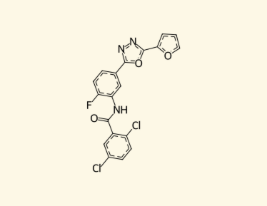 O=C(Nc1cc(-c2nnc(-c3ccco3)o2)ccc1F)c1cc(Cl)ccc1Cl